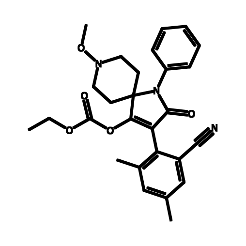 CCOC(=O)OC1=C(c2c(C)cc(C)cc2C#N)C(=O)N(c2ccccc2)C12CCN(OC)CC2